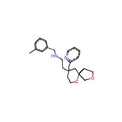 Cc1cccc(CNCCC2(c3ccccn3)CCOC3(CCOC3)C2)c1